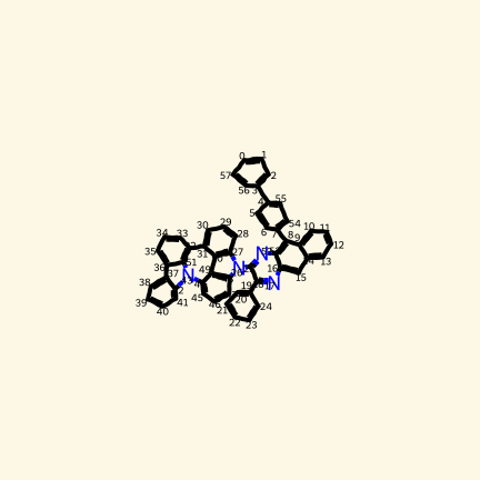 c1ccc(-c2ccc(-c3c4ccccc4cc4nc(-c5ccccc5)c(-n5c6cccc7c8cccc9c%10ccccc%10n(c%10cccc5c%10c76)c89)nc34)cc2)cc1